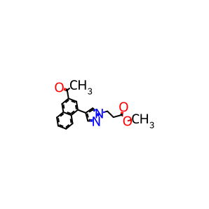 COC(=O)CCn1cc(-c2cc(C(C)=O)cc3ccccc23)cn1